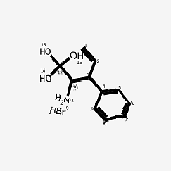 Br.C=CC(c1ccccc1)C(N)C(O)(O)O